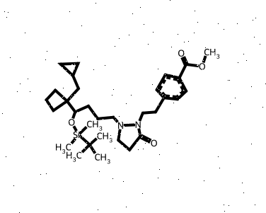 COC(=O)c1ccc(CCN2C(=O)CCN2CCCC(O[Si](C)(C)C(C)(C)C)C2(CC3CC3)CCC2)cc1